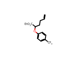 C=CCCC(Oc1ccc(C(F)(F)F)cc1)C(=O)OCC